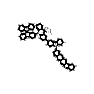 CC1(C)c2ccccc2N(c2ccc3c(c2)C2(c4ccccc4-c4ccccc42)c2ccccc2-3)c2ccc(-c3ccc4c(c3)c3ccccc3n4-c3ccc4cc5cc6sc7ccccc7c6cc5cc4c3)cc21